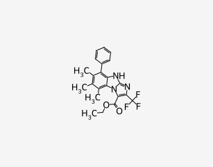 CCOC(=O)c1c(C(F)(F)F)nc2[nH]c3c(-c4ccccc4)c(C)c(C)c(C)c3n12